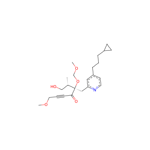 COCC#CC(=O)[C@](Cc1cc(CCCC2CC2)ccn1)(OCOC)[C@@H](C)CO